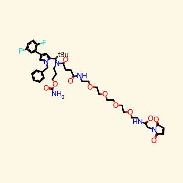 CC(C)(C)C(c1cc(-c2cc(F)ccc2F)cn1Cc1ccccc1)N(CCCOC(N)=O)C(=O)CCC(=O)NCCOCCOCCOCCOCCNC(=O)CN1C(=O)C=CC1=O